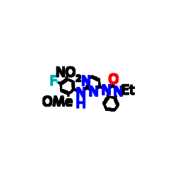 CCn1c(=O)n(-c2ccnc(Nc3cc([N+](=O)[O-])c(F)cc3OC)n2)c2ccccc21